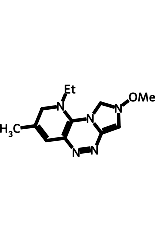 CCN1CC(C)=CC2=C1N1CN(OC)C=C1N=N2